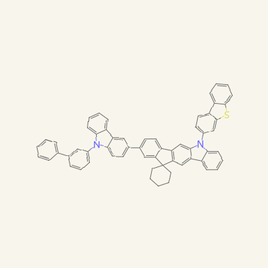 c1ccc(-c2cccc(-n3c4ccccc4c4cc(-c5ccc6c(c5)C5(CCCCC5)c5cc7c8ccccc8n(-c8ccc9c(c8)sc8ccccc89)c7cc5-6)ccc43)c2)cc1